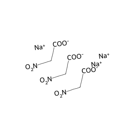 O=C([O-])C[N+](=O)[O-].O=C([O-])C[N+](=O)[O-].O=C([O-])C[N+](=O)[O-].[Na+].[Na+].[Na+]